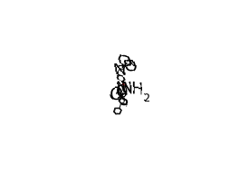 Cc1sc(C(=O)O/N=C(\N)c2ccc(CN3CC(C(=O)OC(C)(C)C)C3)cc2)cc1-c1ccccc1